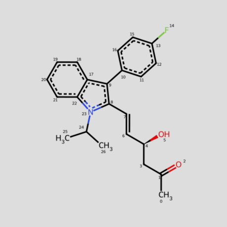 CC(=O)C[C@H](O)/C=C/c1c(-c2ccc(F)cc2)c2ccccc2n1C(C)C